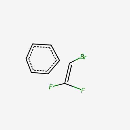 FC(F)=CBr.c1ccccc1